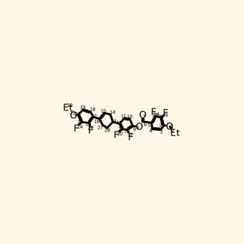 CCOc1ccc(C(=O)Oc2ccc(C3CC=C(c4ccc(OCC)c(F)c4F)CC3)c(F)c2F)c(F)c1F